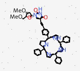 COCC1O[C@@H](n2cc(C#Cc3ccc(-c4c5nc(c(-c6ccccc6)c6nc(c(-c7ccccc7)c7ccc([nH]7)c(-c7ccccc7)c7ccc4[nH]7)C=C6)C=C5)cc3)c(=O)[nH]c2=O)C[C@H]1OC